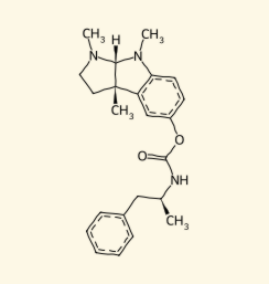 C[C@@H](Cc1ccccc1)NC(=O)Oc1ccc2c(c1)[C@]1(C)CCN(C)[C@@H]1N2C